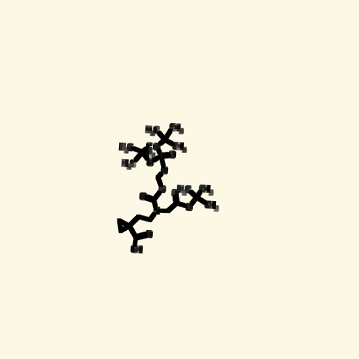 CC(C)(C)OC(=O)CN(CCC1(C(=O)O)CC1)C(=O)OCOP(=O)(OC(C)(C)C)OC(C)(C)C